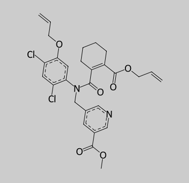 C=CCOC(=O)C1=C(C(=O)N(Cc2cncc(C(=O)OC)c2)c2cc(OCC=C)c(Cl)cc2Cl)CCCC1